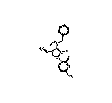 C=C[C@]1(CO)O[C@@H](n2ccc(N)nc2=O)[C@H](O)[C@@H]1OCc1ccccc1